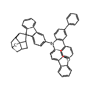 c1ccc(-c2ccc(N(c3ccc4c(c3)-c3ccccc3C43C4CC5CC6CC3C6(C5)C4)c3ccc4c(c3)oc3ccccc34)c(-c3ccccc3)c2)cc1